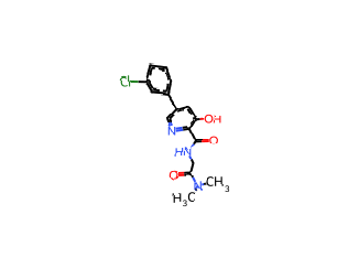 CN(C)C(=O)CNC(=O)c1ncc(-c2cccc(Cl)c2)cc1O